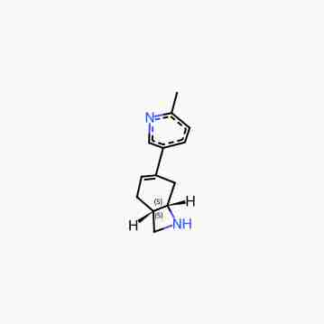 Cc1ccc(C2=CC[C@H]3CN[C@H]3C2)cn1